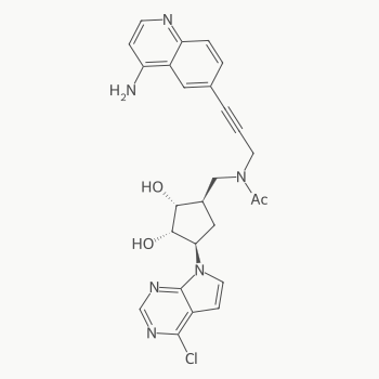 CC(=O)N(CC#Cc1ccc2nccc(N)c2c1)C[C@H]1C[C@@H](n2ccc3c(Cl)ncnc32)[C@H](O)[C@@H]1O